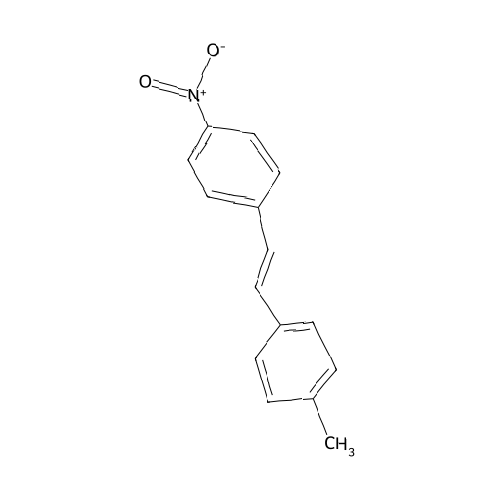 Cc1ccc(/C=C/c2ccc([N+](=O)[O-])cc2)cc1